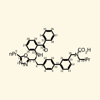 CCCc1nnc([C@H](Cc2ccc(-c3cccc(CN(CC(C)C)C(=O)O)c3)cc2)Nc2ccccc2C(=O)c2ccccc2)o1